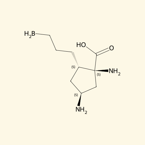 BCCC[C@H]1C[C@H](N)C[C@@]1(N)C(=O)O